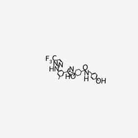 Cc1cc(Nc2nccc(C(F)(F)F)n2)cc(-c2cnc(C3(O)CCC(C(=O)NCc4ccc(O)cc4)CC3)s2)c1